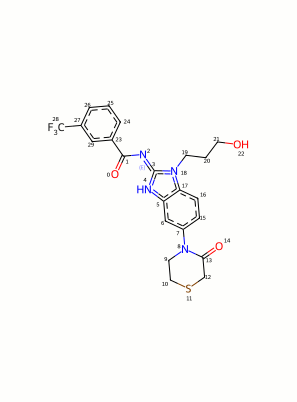 O=C(/N=c1\[nH]c2cc(N3CCSCC3=O)ccc2n1CCCO)c1cccc(C(F)(F)F)c1